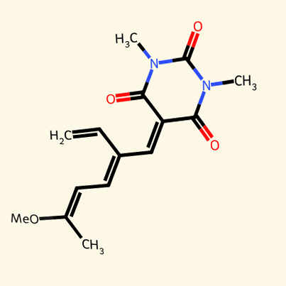 C=C/C(C=C1C(=O)N(C)C(=O)N(C)C1=O)=C\C=C(/C)OC